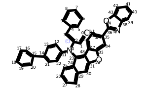 C=C/C(=C\c1ccccc1)N(c1ccc(-c2ccccc2)cc1)c1c2ccccc2cc2oc3cc(-c4nc5ccccc5o4)ccc3c12